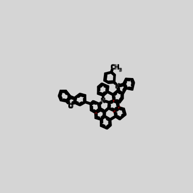 CC1C=CC=C(n2c3ccccc3c3cccc(-c4ccccc4N(c4cccc(-c5ccc6c(c5)oc5ccccc56)c4)c4ccccc4-c4cccc5cccc(-c6ccccc6)c45)c32)C1